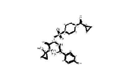 N#CC1(NC(=O)[C@H](CS(=O)(=O)N2CCN(C(=O)C3CC3)CC2)N[C@@H](c2ccc(F)cc2)C(F)(F)F)CC1